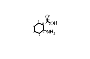 N[C@H]1CCCC[C@@H]1C(=O)O